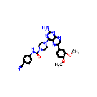 COc1ccc(-c2cnc3nc(N)nc(N4CCN(C(=O)Nc5ccc(C#N)cc5)CC4)c3n2)cc1OC